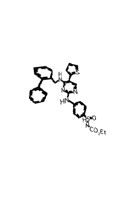 CCOC(=O)/N=[SH](=O)/c1ccc(Nc2ncc(-c3cccs3)c(NCc3ccccc3-c3ccccc3)n2)cc1